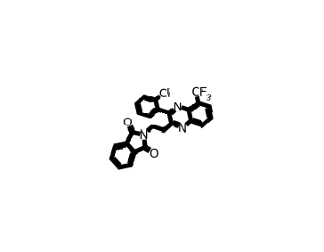 O=C1c2ccccc2C(=O)N1CCc1nc2cccc(C(F)(F)F)c2nc1-c1ccccc1Cl